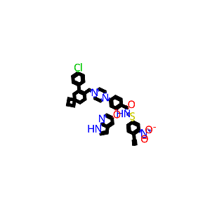 C#Cc1ccc(SNC(=O)c2ccc(N3CCN(CC4=C(c5ccc(Cl)cc5)CC5(CCC5)CC4)CC3)cc2Oc2cnc3[nH]ccc3c2)cc1[N+](=O)[O-]